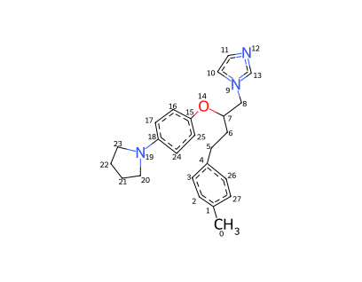 Cc1ccc(CCC(Cn2ccnc2)Oc2ccc(N3CCCC3)cc2)cc1